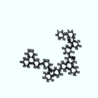 c1ccc(-c2cccc3c2sc2c(-c4cccc(-c5cc6c7ccc(-c8ccc9c%10ccccc%10n(-c%10cccc(-c%11ccc%12c%13ccccc%13c%13ccccc%13c%12c%11)c%10)c9c8)cc7c7ccccc7c6cn5)c4)cccc23)cc1